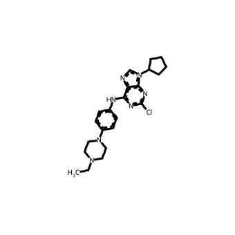 CCN1CCN(c2ccc(Nc3nc(Cl)nc4c3ncn4C3CCCC3)cc2)CC1